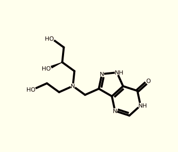 O=c1[nH]cnc2c(CN(CCO)C[C@@H](O)CO)n[nH]c12